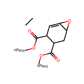 CC.CCCCCOC(=O)C1C=C2OC2CC1C(=O)OCCCCC